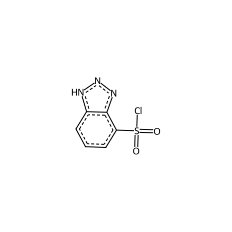 O=S(=O)(Cl)c1cccc2[nH]nnc12